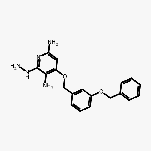 NNc1nc(N)cc(OCc2cccc(OCc3ccccc3)c2)c1N